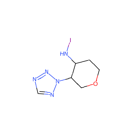 INC1CCOCC1n1ncnn1